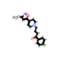 Cc1cc(C2=CCN(CCCC(=O)c3ccc(F)cc3)CC2)on1